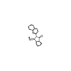 C#N.O=C1c2ccccc2C(=O)C1c1ccc2ccccc2n1